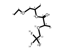 CCOCC(C)OC(=O)C(C)OCC(F)(F)F